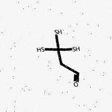 O=CCC(S)(S)S